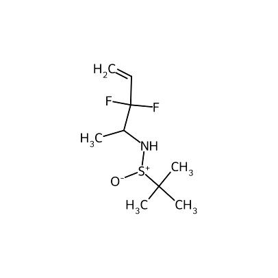 C=CC(F)(F)C(C)N[S+]([O-])C(C)(C)C